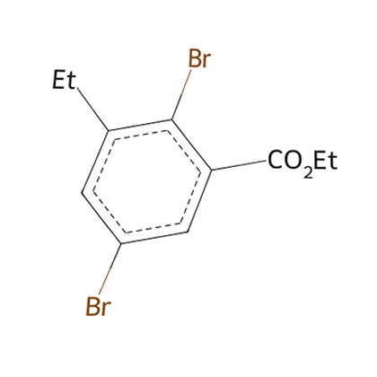 CCOC(=O)c1cc(Br)cc(CC)c1Br